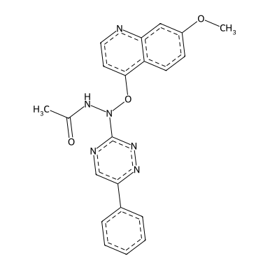 COc1ccc2c(ON(NC(C)=O)c3ncc(-c4ccccc4)nn3)ccnc2c1